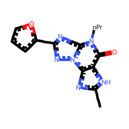 CCCn1c(=O)c2[nH]c(C)nc2n2nc(-c3ccco3)nc12